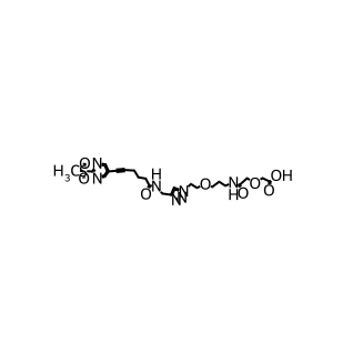 CS(=O)(=O)c1ncc(C#CCCCC(=O)NCc2cn(CCOCCCNC(=O)COCC(=O)O)nn2)cn1